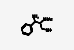 CC(=O)NC(C[NH])C(N)c1ccccc1